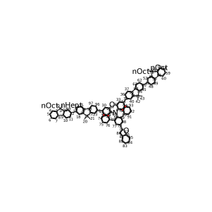 CCCCCCCCC1(CCCCCCC)c2ccccc2-c2ccc(-c3ccc4c(c3)C(C)(C)c3cc(-c5ccc6c(c5)Oc5cc(-c7ccc8c(c7)C(C)(C)c7cc(-c9ccc%10c(c9)C(CCCCCCCC)(CCCCCCCC)c9ccccc9-%10)ccc7-8)ccc5N6c5c(-c6ccccc6)cc(-c6cc7ccccc7o6)cc5-c5ccccc5)ccc3-4)cc21